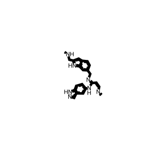 C=N/C=C\C(=N/Cc1ccc2cc(CNC)[nH]c2c1)Nc1ccc2[nH]ncc2c1